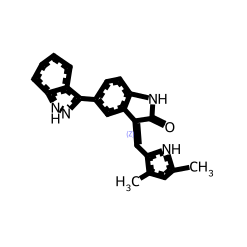 Cc1cc(C)c(/C=C2\C(=O)Nc3ccc(-c4n[nH]c5ccccc45)cc32)[nH]1